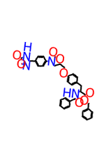 O=C(NC(Cc1ccc(OCC2CN(c3ccc(-c4noc(=O)[nH]4)cc3)C(=O)O2)cc1)C(=O)OCc1ccccc1)c1ccccc1